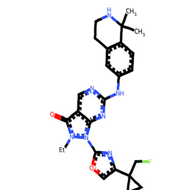 CCn1c(=O)c2cnc(Nc3ccc4c(c3)CCNC4(C)C)nc2n1-c1nc(C2(CF)CC2)co1